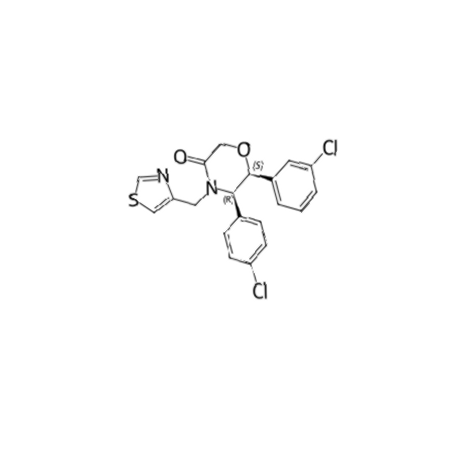 O=C1CO[C@@H](c2cccc(Cl)c2)[C@@H](c2ccc(Cl)cc2)N1Cc1cscn1